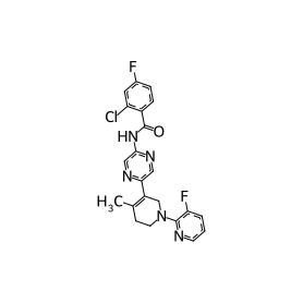 CC1=C(c2cnc(NC(=O)c3ccc(F)cc3Cl)cn2)CN(c2ncccc2F)CC1